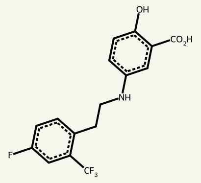 O=C(O)c1cc(NCCc2ccc(F)cc2C(F)(F)F)ccc1O